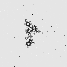 Cn1cc(C(=O)NCC(O)(c2cc3c(c(-c4ccc(F)cc4)n2)OC[C@]3(C)C(N)=O)C(F)(F)F)c2ccccc21